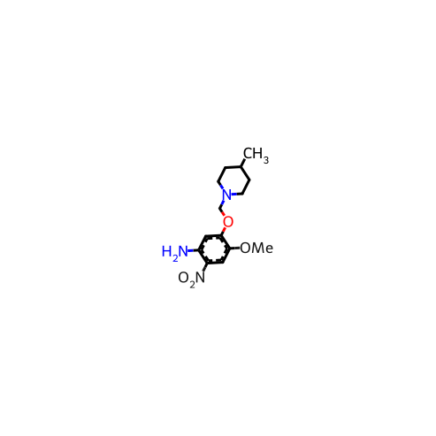 COc1cc([N+](=O)[O-])c(N)cc1OCN1CCC(C)CC1